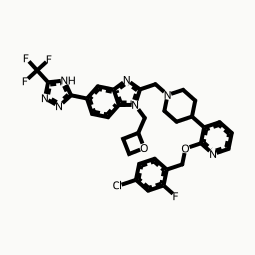 Fc1cc(Cl)ccc1COc1ncccc1C1CCN(Cc2nc3cc(-c4nnc(C(F)(F)F)[nH]4)ccc3n2CC2CCO2)CC1